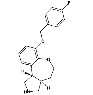 Fc1ccc(COc2cccc3c2OCC[C@H]2CNC[C@H]32)cc1